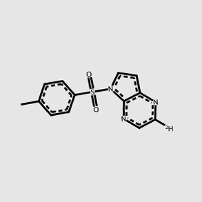 [2H]c1cnc2c(ccn2S(=O)(=O)c2ccc(C)cc2)n1